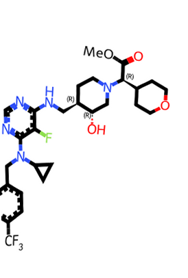 COC(=O)[C@@H](C1CCOCC1)N1CC[C@H](CNc2ncnc(N(Cc3ccc(C(F)(F)F)cc3)C3CC3)c2F)[C@@H](O)C1